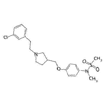 CN(c1ccc(OCC2CCN(CCc3cccc(Cl)c3)C2)cc1)S(C)(=O)=O